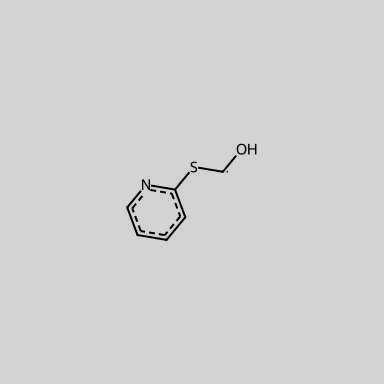 O[CH]Sc1ccccn1